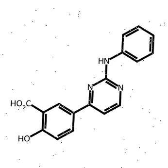 O=C(O)c1cc(-c2ccnc(Nc3ccccc3)n2)ccc1O